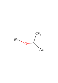 CC(=O)C(OC(C)C)C(F)(F)F